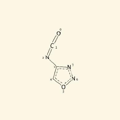 O=C=Nc1conn1